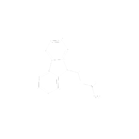 CNC(=O)OCC1c2ccccc2-c2ccccc21